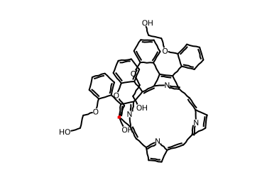 OCCOc1ccccc1C1=CC2=CC3=NC(=CC4=NC(=CC5=NC(=C(c6ccccc6OCCO)C1=N2)C(c1ccccc1OCCO)=C5c1ccccc1OCCO)C=C4)C=C3